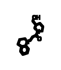 O=C(CCN1CCCc2ccccc21)N1CCCC(CO)C1